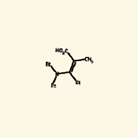 CCC(=C(C)C(=O)O)N(CC)CC